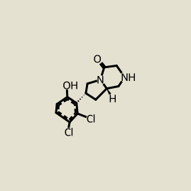 O=C1CNC[C@@H]2C[C@H](c3c(O)ccc(Cl)c3Cl)CN12